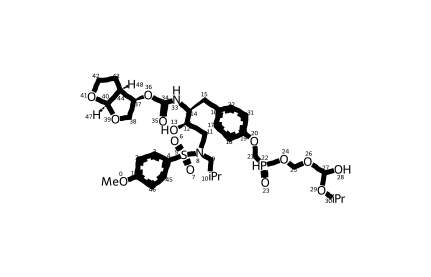 COc1ccc(S(=O)(=O)N(CC(C)C)C[C@@H](O)[C@H](Cc2ccc(OC[PH](=O)OCOC(O)OC(C)C)cc2)NC(=O)O[C@H]2CO[C@H]3OCC[C@H]32)cc1